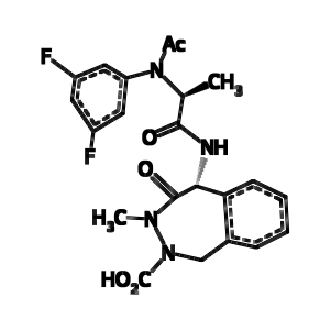 CC(=O)N(c1cc(F)cc(F)c1)[C@@H](C)C(=O)N[C@H]1C(=O)N(C)N(C(=O)O)Cc2ccccc21